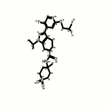 CC(C)n1nc(-c2cc(OCC(F)F)ncc2F)c2c1C[C@H](C(=O)NC1(C)CCS(=O)(=O)CC1)CC2